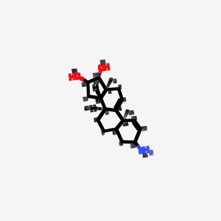 C[C@]12CC=C3[C@@H](CCC4CC(N)C=C[C@]34C)[C@@H]1C[C@@H](O)[C@@H]2O